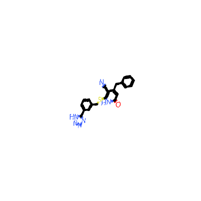 N#Cc1c(Cc2ccccc2)cc(=O)[nH]c1SCc1cccc(-c2nnn[nH]2)c1